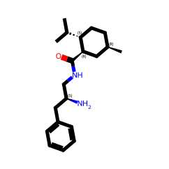 CC(C)[C@@H]1CC[C@@H](C)C[C@H]1C(=O)NC[C@@H](N)Cc1ccccc1